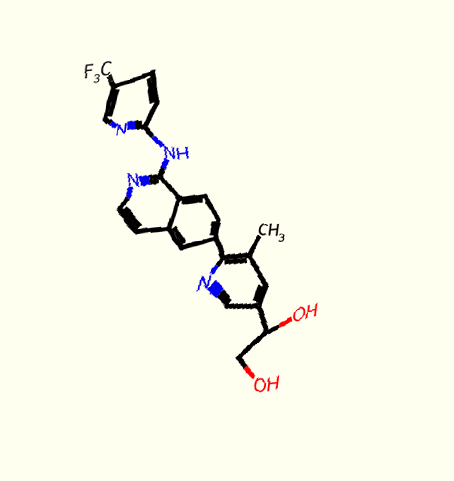 Cc1cc(C(O)CO)cnc1-c1ccc2c(Nc3ccc(C(F)(F)F)cn3)nccc2c1